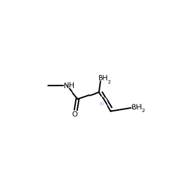 B/C=C(\B)C(=O)NC